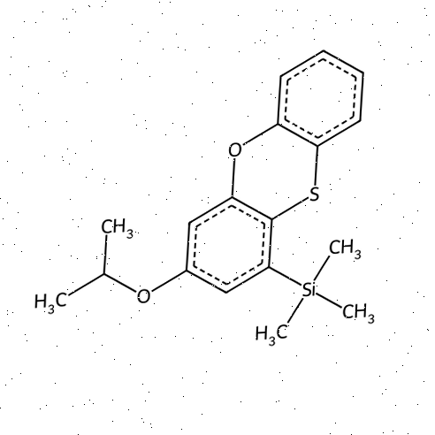 CC(C)Oc1cc2c(c([Si](C)(C)C)c1)Sc1ccccc1O2